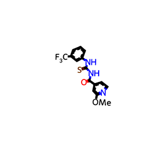 COc1cc(C(=O)NC(=S)Nc2cccc(C(F)(F)F)c2)ccn1